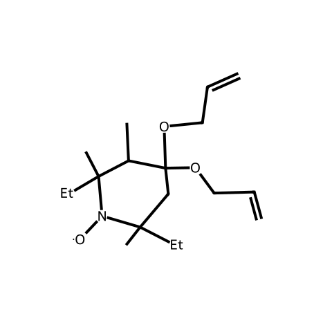 C=CCOC1(OCC=C)CC(C)(CC)N([O])C(C)(CC)C1C